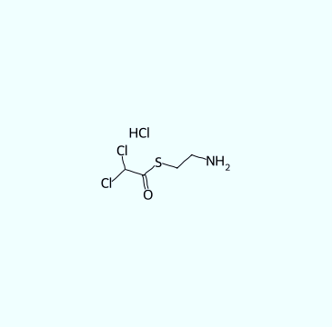 Cl.NCCSC(=O)C(Cl)Cl